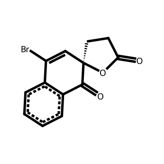 O=C1CC[C@]2(C=C(Br)c3ccccc3C2=O)O1